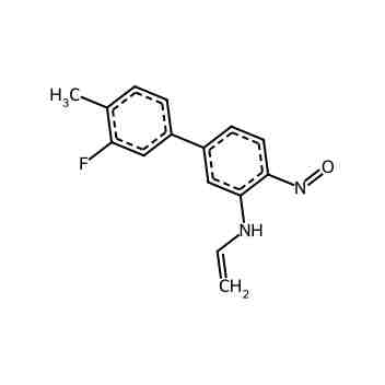 C=CNc1cc(-c2ccc(C)c(F)c2)ccc1N=O